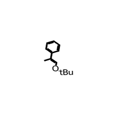 CC(=COC(C)(C)C)c1ccccc1